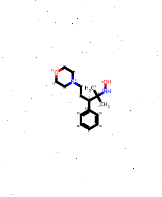 CC(C)(NO)C(CCN1CCOCC1)c1ccccc1